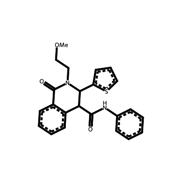 COCCN1C(=O)c2ccccc2C(C(=O)Nc2ccccc2)C1c1cccs1